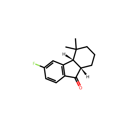 CC1(C)CCC[C@@H]2C(=O)c3ccc(F)cc3[C@@H]21